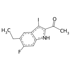 CCc1cc2c(I)c(C(C)=O)[nH]c2cc1F